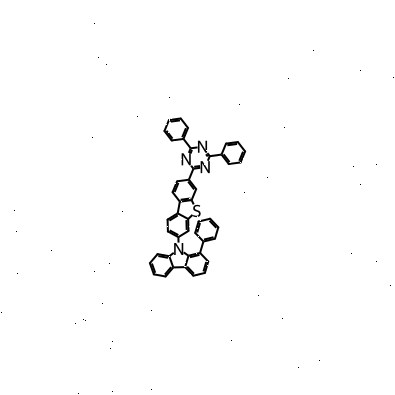 c1ccc(-c2nc(-c3ccccc3)nc(-c3ccc4c(c3)sc3cc(-n5c6ccccc6c6cccc(-c7ccccc7)c65)ccc34)n2)cc1